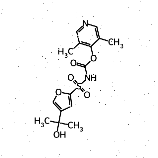 Cc1cncc(C)c1OC(=O)NS(=O)(=O)c1cc(C(C)(C)O)co1